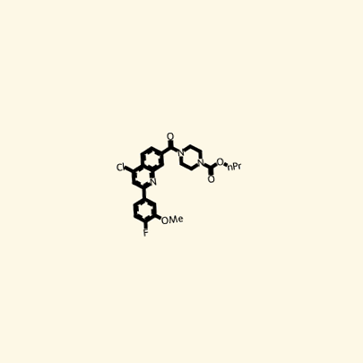 CCCOC(=O)N1CCN(C(=O)c2ccc3c(Cl)cc(-c4ccc(F)c(OC)c4)nc3c2)CC1